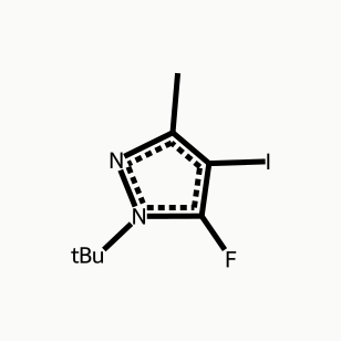 Cc1nn(C(C)(C)C)c(F)c1I